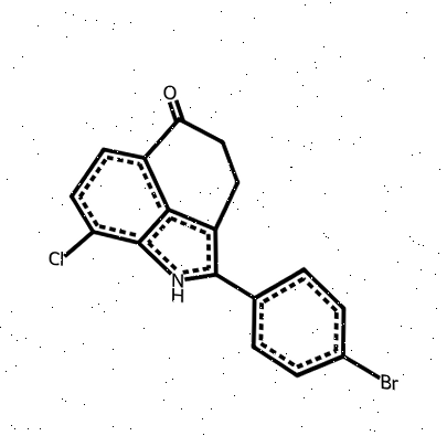 O=C1CCc2c(-c3ccc(Br)cc3)[nH]c3c(Cl)ccc1c23